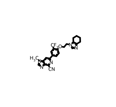 Cn1cnc2c(C#N)nc(-c3ccc(OCCn4cnc5c4CCCC5)c(C(F)(F)F)c3)cc21